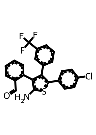 Nc1sc(-c2ccc(Cl)cc2)c(-c2cccc(C(F)(F)F)c2)c1-c1ccccc1C=O